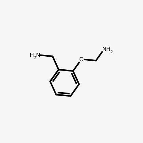 NCOc1ccccc1CN